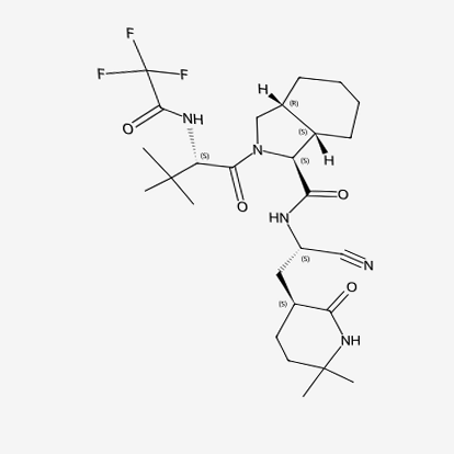 CC1(C)CC[C@@H](C[C@@H](C#N)NC(=O)[C@@H]2[C@H]3CCCC[C@H]3CN2C(=O)[C@@H](NC(=O)C(F)(F)F)C(C)(C)C)C(=O)N1